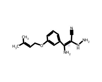 CC(C)=CCOc1cccc(/C(N)=C(\C#N)NN)c1